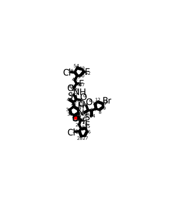 O=C(OC(=O)c1c(-c2ccc(Br)cc2)csc1NC(=O)C(F)Cc1c(F)cccc1Cl)c1c(-c2ccc(Br)cc2)csc1NC(=O)C(F)Cc1cc(F)ccc1Cl